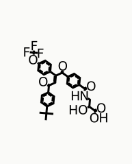 CC(C)(C)c1ccc(C(=O)/C=C(/C(=O)c2ccc(C(=O)NCC(O)C(=O)O)cc2)c2ccc(OC(F)(F)F)cc2)cc1